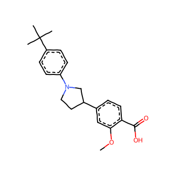 COc1cc(C2CCN(c3ccc(C(C)(C)C)cc3)C2)ccc1C(=O)O